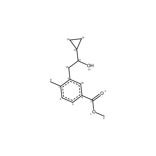 COC(=O)c1ccc(C)c(CC(O)C2CC2)c1